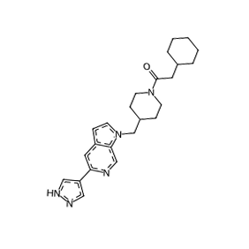 O=C(CC1CCCCC1)N1CCC(Cn2ccc3cc(-c4cn[nH]c4)ncc32)CC1